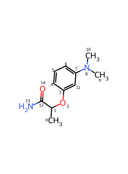 CC(Oc1cccc(N(C)C)c1)C(N)=O